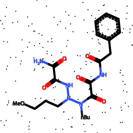 CCCCN(C(=O)C(=O)NC(=O)Cc1ccccc1)N(CCCOC)NC(=O)C(N)=O